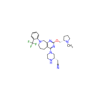 CN1CCC[C@H]1COc1nc2c(c(N3CCN[C@@H](CC#N)C3)n1)CCCN(c1ccccc1C(F)(F)F)C2